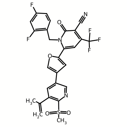 C=C(C)c1cc(-c2coc(-c3cc(C(F)(F)F)c(C#N)c(=O)n3Cc3ccc(F)cc3F)c2)cnc1S(C)(=O)=O